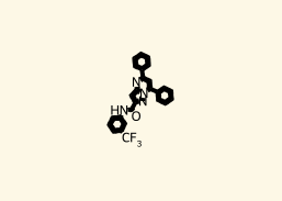 O=C(Nc1cccc(C(F)(F)F)c1)c1cc2nc(-c3ccccc3)cc(-c3ccccc3)n2n1